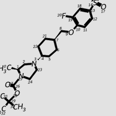 C[C@H]1CN([C@H]2CC[C@H](COc3ccc(S(C)(=O)=O)cc3F)CC2)CCN1C(=O)OC(C)(C)C